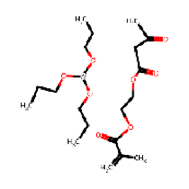 C=C(C)C(=O)OCCOC(=O)CC(C)=O.CCC[O][Zr]([O]CCC)[O]CCC